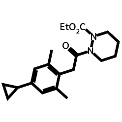 CCOC(=O)N1CCCCN1C(=O)Cc1c(C)cc(C2CC2)cc1C